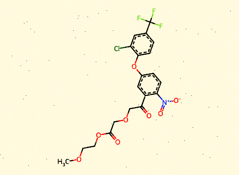 COCCOC(=O)COCC(=O)c1cc(Oc2ccc(C(F)(F)F)cc2Cl)ccc1[N+](=O)[O-]